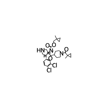 CN(C(=O)OCC1(C)CC1)[C@]1(C(=O)C2CCN(C(=O)C3(C)CC3)CC2)CNC[C@H]1c1ccc(Cl)c(Cl)c1